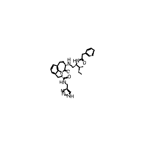 CC[C@H](C)[C@@H](CN[C@H]1CCc2cccc3c2N(C1=O)[C@H](C(=O)NCc1c[nH]nn1)C3)NC(=O)Cc1ccccc1